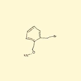 CCOc1ccccc1CBr